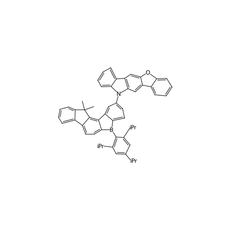 CC(C)c1cc(C(C)C)c(B2c3ccc(-n4c5ccccc5c5cc6oc7ccccc7c6cc54)cc3-c3c2ccc2c3C(C)(C)c3ccccc3-2)c(C(C)C)c1